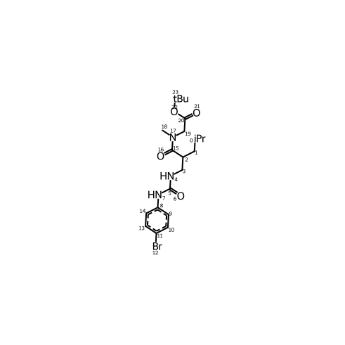 CC(C)CC(CNC(=O)Nc1ccc(Br)cc1)C(=O)N(C)CC(=O)OC(C)(C)C